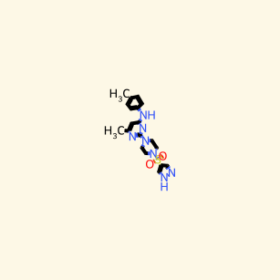 Cc1ccc(Nc2cc(C)nc(N3CCN(S(=O)(=O)c4cn[nH]c4)CC3)n2)cc1